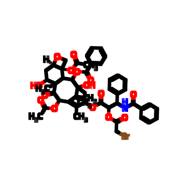 CC(=O)O[C@H]1C(=O)[C@@]2(C)C(C(OC(=O)c3ccccc3)[C@]3(O)CC(OC(=O)C(OC(=O)CBr)C(NC(=O)c4ccccc4)c4ccccc4)C(C)=C1C3(C)C)[C@]1(OC(C)=O)CO[C@@H]1C[C@@H]2O